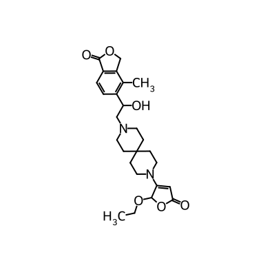 CCOC1OC(=O)C=C1N1CCC2(CCN(CC(O)c3ccc4c(c3C)COC4=O)CC2)CC1